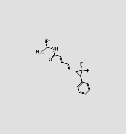 CC(C)C(C)NC(=O)C=CC=C[C@H]1[C@H](c2ccccc2)C1(F)F